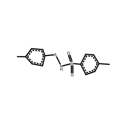 Cc1ccc(SNS(=O)(=O)c2ccc(C)cc2)cc1